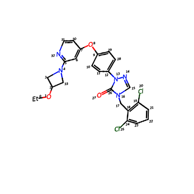 CCOC1CN(c2cc(Oc3ccc(-n4ncn(Cc5c(Cl)cccc5Cl)c4=O)cc3)ccn2)C1